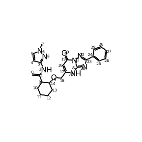 C=C(Nc1ccn(C)n1)C1CCCCC1OCc1cc(=O)n2nc(-c3ccccc3)nc2[nH]1